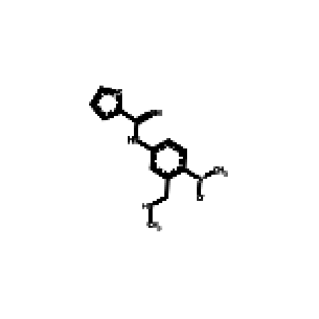 CNCc1cc(NC(=N)c2cccs2)ccc1[S+](C)[O-]